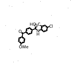 COc1ccc(C(=O)c2ccc(C(=O)Nc3ccc(Cl)cc3C(=O)O)cc2)cc1